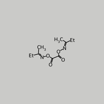 CCC(C)=NOC(=O)C(=O)ON=C(C)CC